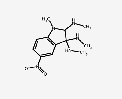 CNC1N(C)c2ccc([N+](=O)[O-])cc2C1(NC)NC